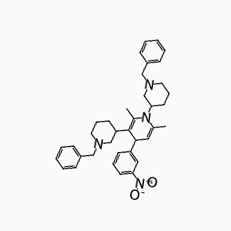 CC1=CC(c2cccc([N+](=O)[O-])c2)C(C2CCCN(Cc3ccccc3)C2)=C(C)N1C1CCCN(Cc2ccccc2)C1